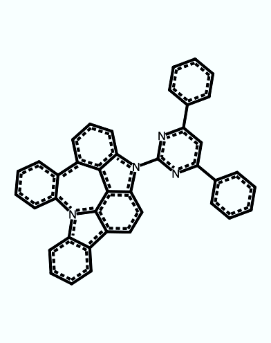 c1ccc(-c2cc(-c3ccccc3)nc(-n3c4cccc5c6ccccc6n6c7ccccc7c7ccc3c(c54)c76)n2)cc1